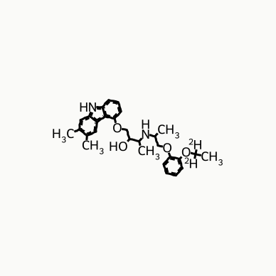 [2H]C([2H])(C)Oc1ccccc1OCC(C)NC(C)C(O)COc1cccc2[nH]c3cc(C)c(C)cc3c12